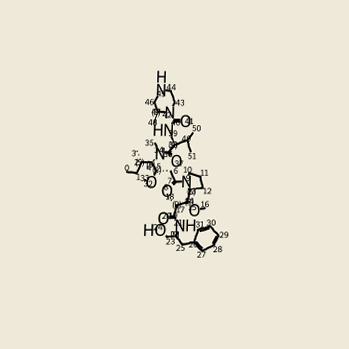 CC[C@H](C)[C@@H]([C@H](CC(=O)N1CCC[C@H]1[C@H](OC)[C@@H](C)C(=O)N[C@H](CO)Cc1ccccc1)OC)N(C)C(=O)[C@@H](NC(=O)N1CCNC[C@@H]1C)C(C)C